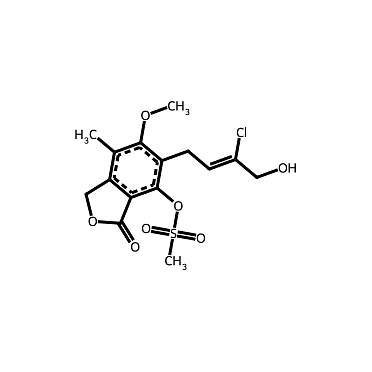 COc1c(C)c2c(c(OS(C)(=O)=O)c1C/C=C(\Cl)CO)C(=O)OC2